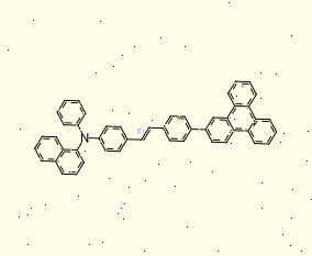 C(=C\c1ccc(N(c2ccccc2)c2cccc3ccccc23)cc1)/c1ccc(-c2ccc3c4ccccc4c4ccccc4c3c2)cc1